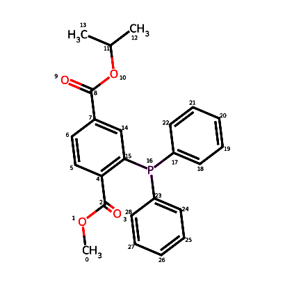 COC(=O)c1ccc(C(=O)OC(C)C)cc1P(c1ccccc1)c1ccccc1